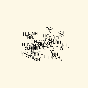 CC[C@H](C)[C@H](NC(=O)[C@H](CC(C)C)NC(=O)[C@H](CCCNC(=N)N)NC(=O)[C@H](C)NC(=O)[C@@H](NC(=O)[C@@H](N)CO)C(C)C)C(=O)N[C@@H](CCCNC(=N)N)C(=O)N[C@@H](CCC(N)=O)C(=O)N[C@@H](CCC(=O)O)C(=O)N[C@@H](CCC(=O)O)C(=O)O